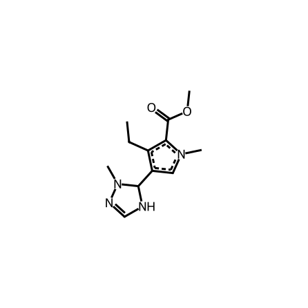 CCc1c(C2NC=NN2C)cn(C)c1C(=O)OC